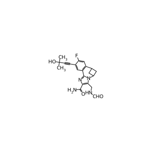 CC(C)(O)C#Cc1cc2c(cc1F)C1CC(C1)n1c-2nc(C(N)=O)c1CNC=O